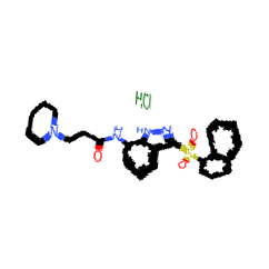 Cl.O=C(CCN1CCCCC1)Nc1cccc2c(S(=O)(=O)c3cccc4ccccc34)n[nH]c12